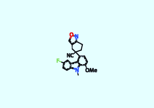 COc1ccc(C2(C#N)CCc3nocc3C2)c2c3cc(F)ccc3n(C)c12